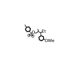 CCC(c1cccc(OC)c1)C(C)COS(=O)(=O)c1ccc(C)cc1